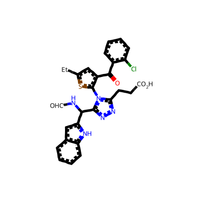 CCc1cc(C(=O)c2ccccc2Cl)c(-n2c(CCC(=O)O)nnc2C(NC=O)c2cc3ccccc3[nH]2)s1